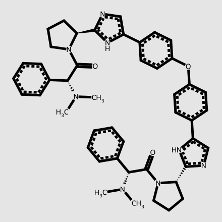 CN(C)[C@@H](C(=O)N1CCC[C@H]1c1ncc(-c2ccc(Oc3ccc(-c4cnc([C@@H]5CCCN5C(=O)[C@@H](c5ccccc5)N(C)C)[nH]4)cc3)cc2)[nH]1)c1ccccc1